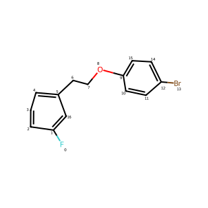 Fc1cccc(CCOc2ccc(Br)cc2)c1